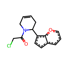 O=C(CCl)N1CC=CCC1c1ccc2cccoc1-2